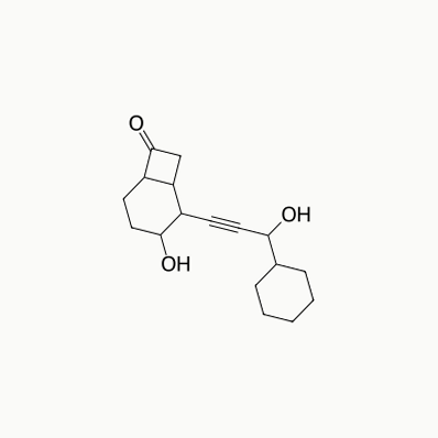 O=C1CC2C1CCC(O)C2C#CC(O)C1CCCCC1